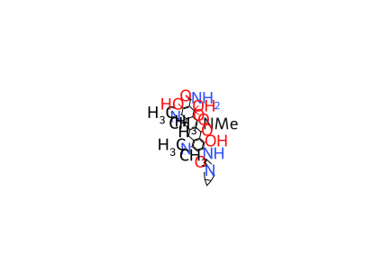 CNOC1=C2C(=O)c3c(O)c(NC(=O)CN4CC5CC5C4)cc(N(C)C)c3C[C@H]2C[C@H]2[C@H](N(C)C)C(O)=C(C(N)=O)C3(O)O[C@]123